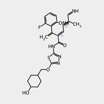 C=C(/C(=C\C=C(/C)C=N)C(=O)Nc1nnc(OCC2CCC(O)CC2)s1)c1c(F)cccc1OC